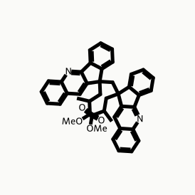 COC(=O)C(C)CC1(CC2(CC(C)C(=O)OC)c3ccccc3-c3nc4ccccc4cc32)c2ccccc2-c2nc3ccccc3cc21